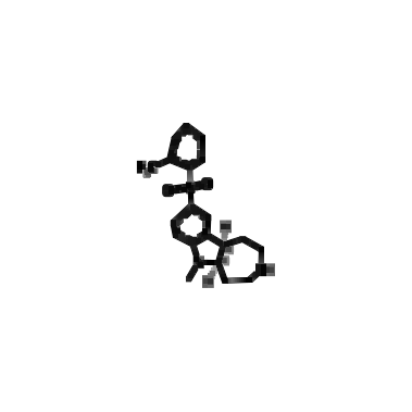 CN1c2ccc(S(=O)(=O)c3ccccc3C(F)(F)F)cc2[C@H]2CCNCC[C@H]21